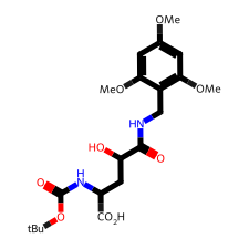 COc1cc(OC)c(CNC(=O)C(O)CC(NC(=O)OC(C)(C)C)C(=O)O)c(OC)c1